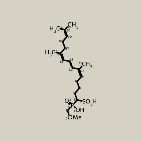 COCP(=O)(O)C(CCCC=C(C)CCC=C(C)CCC=C(C)C)S(=O)(=O)O